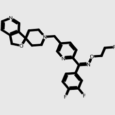 FCCO/N=C(/c1ccc(F)c(F)c1)c1ccc(CN2CCC3(CC2)OCc2ccncc23)cn1